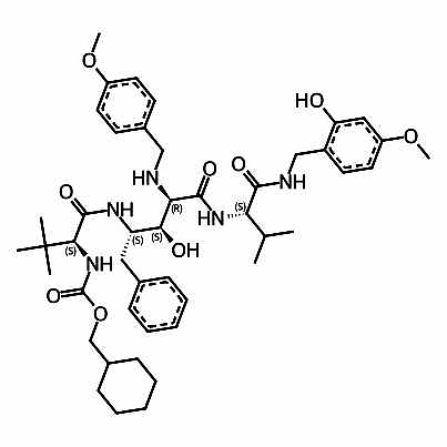 COc1ccc(CN[C@@H](C(=O)N[C@H](C(=O)NCc2ccc(OC)cc2O)C(C)C)[C@@H](O)[C@H](Cc2ccccc2)NC(=O)[C@@H](NC(=O)OCC2CCCCC2)C(C)(C)C)cc1